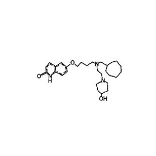 O=c1ccc2cc(OCCCCN(CCN3CCC(O)CC3)CC3CCCCCCC3)ccc2[nH]1